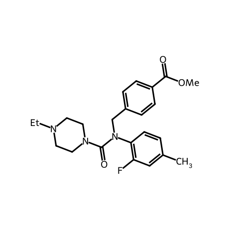 CCN1CCN(C(=O)N(Cc2ccc(C(=O)OC)cc2)c2ccc(C)cc2F)CC1